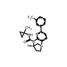 CC1(NC(=O)N2c3nc(-c4cccc(C(F)(F)F)c4)ccc3N3CC[C@H]2C3)CC1